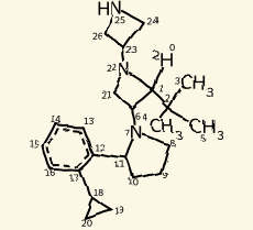 [2H]C1(C(C)(C)C)C(N2CCCC2c2ccccc2C2CC2)CN1C1CNC1